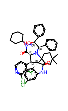 CC1(C)CCC2(CC1)N([C@H](c1ccccc1)[C@@H](O)c1ccccc1)[C@@H](C(=O)NC1CCCCC1)[C@H](c1ccnc(Cl)c1F)[C@]21C(=O)Nc2cc(Cl)ccc21